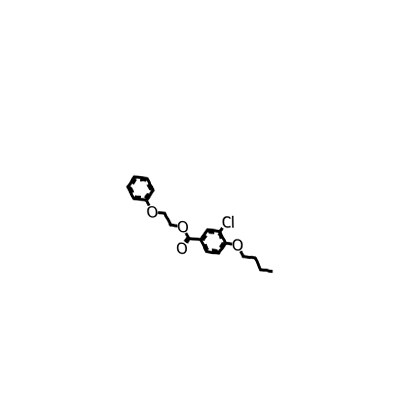 CCCCOc1ccc(C(=O)OCCOc2ccccc2)cc1Cl